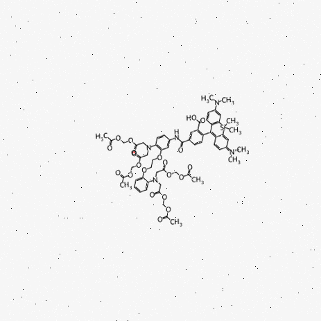 CC(=O)OCOC(=O)CN(CC(=O)OCOC(C)=O)c1ccccc1OCCOc1cc(NC(=O)c2ccc(C3=C4C=CC(=[N+](C)C)C=C4[Si](C)(C)c4cc(N(C)C)ccc43)c(C(=O)O)c2)ccc1N(CC(=O)OCOC(C)=O)CC(=O)OCOC(C)=O